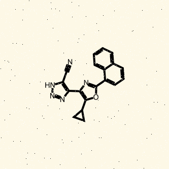 N#Cc1[nH]nnc1-c1nc(-c2cccc3ccccc23)oc1C1CC1